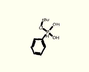 CC(C)(C)O[PH](O)(O)c1ccccc1